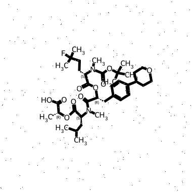 CC(C)C[C@@H](C(=O)O[C@H](C)C(=O)O)N(C)C(=O)[C@@H](Cc1ccc(C2CCOCC2)cc1)OC(=O)[C@H](CCC(C)(C)F)N(C)C(=O)OC(C)(C)C